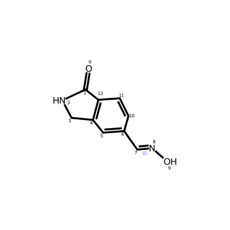 O=C1NCc2cc(/C=N/O)ccc21